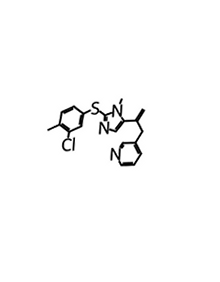 C=C(Cc1cccnc1)c1cnc(Sc2ccc(C)c(Cl)c2)n1C